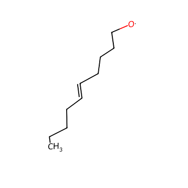 CCCCC=CCCCC[O]